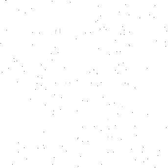 COC(=O)c1cccc(Oc2ncccc2C(=O)O)c1